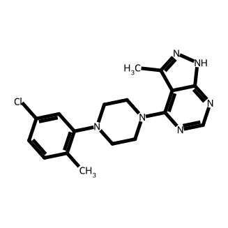 Cc1ccc(Cl)cc1N1CCN(c2ncnc3[nH]nc(C)c23)CC1